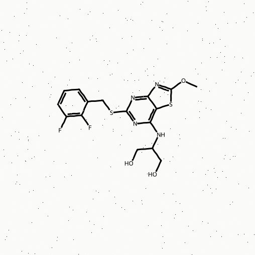 COc1nc2nc(SCc3cccc(F)c3F)nc(NC(CO)CO)c2s1